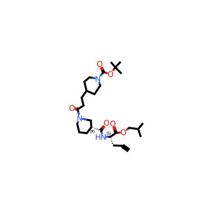 C#CC[C@H](NC(=O)[C@@H]1CCCN(C(=O)CCC2CCN(C(=O)OC(C)(C)C)CC2)C1)C(=O)OCC(C)C